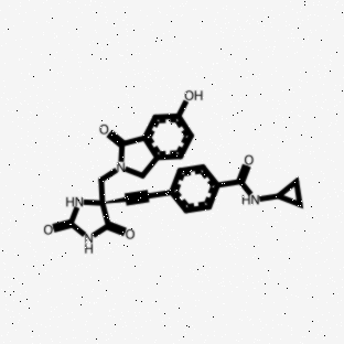 O=C1NC(=O)[C@@](C#Cc2ccc(C(=O)NC3CC3)cc2)(CN2Cc3ccc(O)cc3C2=O)N1